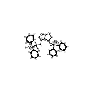 CC(C)(C[C@H]1COC2OC[C@H](O[Si](c3ccccc3)(c3ccccc3)C(C)(C)C)C21)[Si](O)(c1ccccc1)c1ccccc1